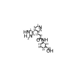 N=C/C(=C\N)c1ccncc1/C=C/C(=O)Nc1cccc(CO)c1